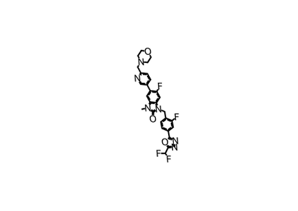 Cn1c(=O)n(Cc2ccc(-c3nnc(C(F)F)o3)cc2F)c2cc(F)c(-c3ccc(CN4CCOCC4)nc3)cc21